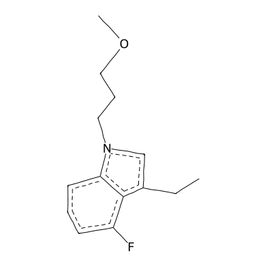 CCc1cn(CCCOC)c2cccc(F)c12